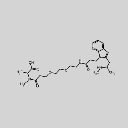 CNN(C)Cc1cc2cccnc2n1CCC(=O)NCCOCCOCCC(=O)N(C)C(C)C(=O)O